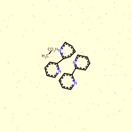 CC(=O)O.c1ccc(-c2ccccn2)nc1.c1ccc(-c2ccccn2)nc1